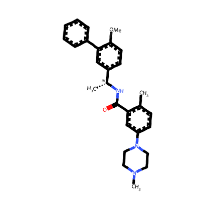 COc1ccc([C@@H](C)NC(=O)c2cc(N3CCN(C)CC3)ccc2C)cc1-c1ccccc1